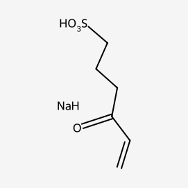 C=CC(=O)CCCS(=O)(=O)O.[NaH]